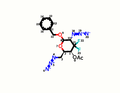 CC(=O)O[C@@H]1[C@@H](CN=[N+]=[N-])OC(OCc2ccccc2)[C@H](N=[N+]=[N-])C1(F)F